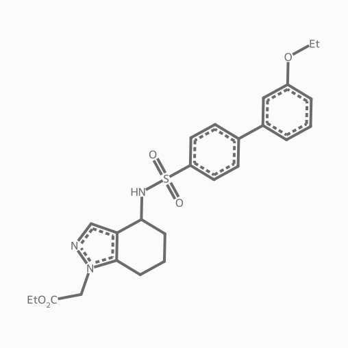 CCOC(=O)Cn1ncc2c1CCCC2NS(=O)(=O)c1ccc(-c2cccc(OCC)c2)cc1